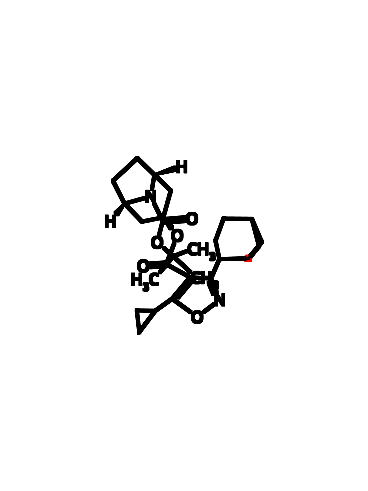 CC(C)(C)OC(=O)N1[C@@H]2CC[C@H]1C[C@H](OC(=O)c1c(C34CCC(CC3)CC4)noc1C1CC1)C2